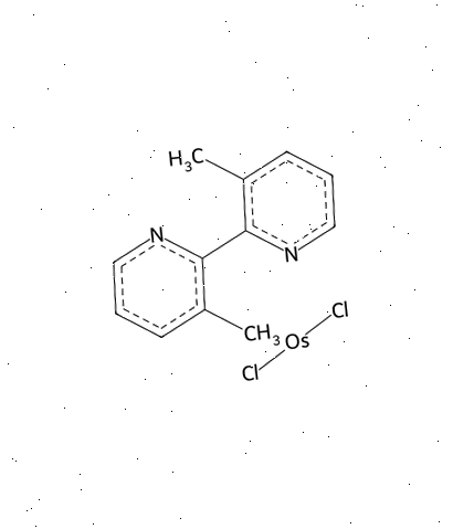 Cc1cccnc1-c1ncccc1C.[Cl][Os][Cl]